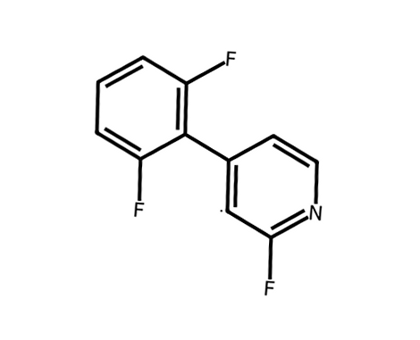 Fc1[c]c(-c2c(F)cccc2F)ccn1